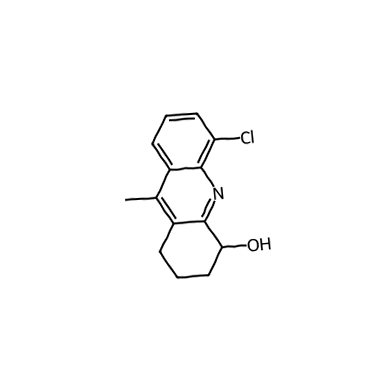 Cc1c2c(nc3c(Cl)cccc13)C(O)CCC2